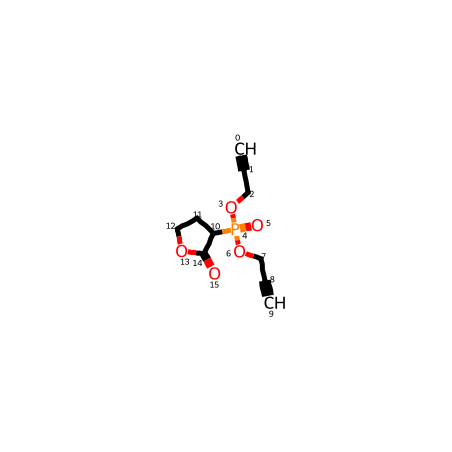 C#CCOP(=O)(OCC#C)C1CCOC1=O